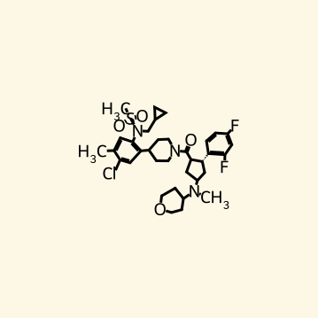 Cc1cc(N(CC2CC2)S(C)(=O)=O)c(C2CCN(C(=O)C3CC(N(C)C4CCOCC4)C[C@H]3c3ccc(F)cc3F)CC2)cc1Cl